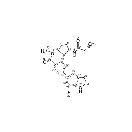 CCC(=O)N[C@H]1CC[C@@H](N(C)C(=O)c2ccc(-c3cc(F)c4c(c3)CCN4)nc2)C1